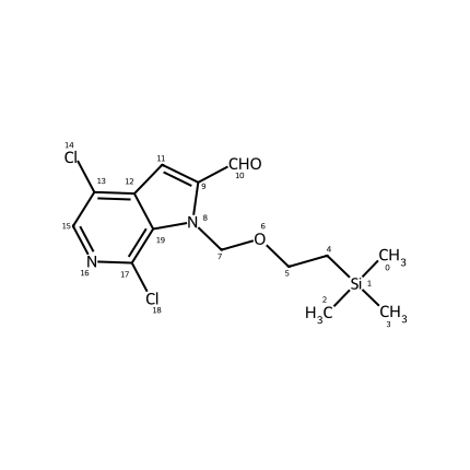 C[Si](C)(C)CCOCn1c(C=O)cc2c(Cl)cnc(Cl)c21